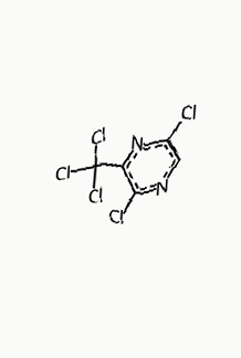 Clc1cnc(Cl)c(C(Cl)(Cl)Cl)n1